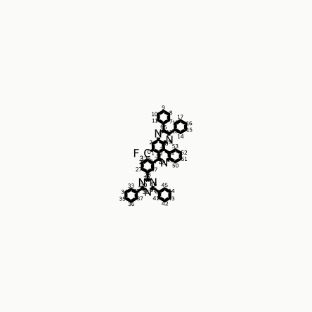 FC(F)(F)c1cc2nc(-c3ccccc3)c(-c3ccccc3)nc2c2c1c(-c1cccc(-c3nc(-c4ccccc4)nc(-c4ccccc4)n3)c1)nc1ccccc12